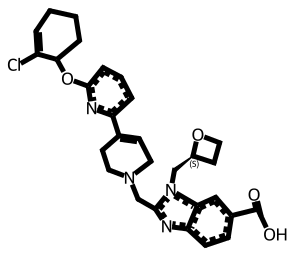 O=C(O)c1ccc2nc(CN3CC=C(c4cccc(OC5CCCC=C5Cl)n4)CC3)n(C[C@@H]3CCO3)c2c1